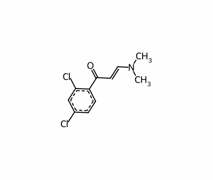 CN(C)C=CC(=O)c1ccc(Cl)cc1Cl